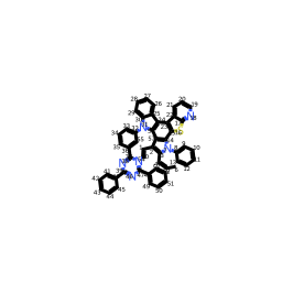 C=Cc1c(/C=C\C)n(-c2ccccc2)c2c3sc4ncccc4c3c3c4ccccc4n(-c4cccc(-c5nc(-c6ccccc6)nc(-c6ccccc6)n5)c4)c3c12